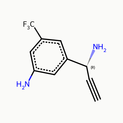 C#C[C@@H](N)c1cc(N)cc(C(F)(F)F)c1